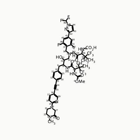 COC(=O)NC(C(=O)NC(Cc1ccc(C#Cc2ccc(N3CCN(C)C(=O)C3)nc2)cc1)C(O)CN(Cc1c(F)cc(-c2ccn(C(F)F)n2)cc1F)NC(=O)C(NC(=O)O)C(C)(C)C(F)(F)F)C(C)(C)C(F)(F)F